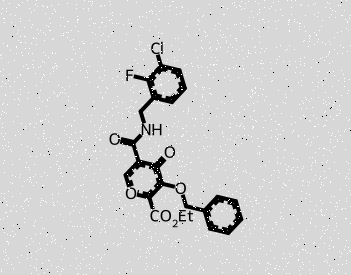 CCOC(=O)c1occ(C(=O)NCc2cccc(Cl)c2F)c(=O)c1OCc1ccccc1